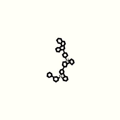 c1ccc(-c2cccc(-n3c4ccccc4c4cc(-c5ccc6c(c5)c5ccccc5n6-c5ccc(-c6cc7ccc8ccccc8c7c7ccccc67)cc5)ccc43)c2)cc1